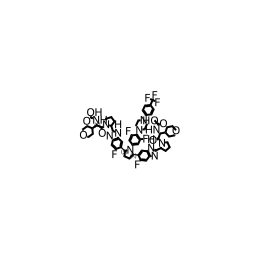 O=C(O)NC(C(=O)N1CCCC1c1nc2cc(F)c([C@H]3CC[C@@H](c4cc5[nH]c(C6CCCN6C(=O)[C@@H](NC(=O)O)C6CCOCC6)nc5cc4F)N3c3cc(F)c(N4CCN(c5ccc(C(F)(F)F)cc5)CC4)c(F)c3)cc2[nH]1)C1CCOCC1